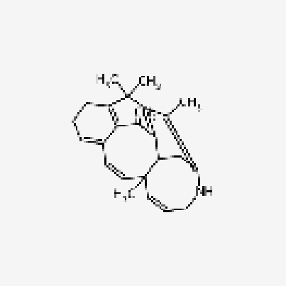 C=C1C2=C3CCC=C2/C=C\C2(C)C=CCNC4=C(C)C(=C1C2C4)C3(C)C